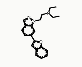 CCN(CC)CCn1ncc2ccc(-c3cc4ccccc4o3)cc21